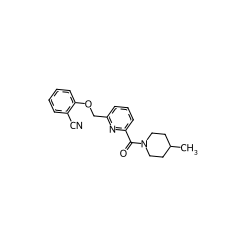 CC1CCN(C(=O)c2cccc(COc3ccccc3C#N)n2)CC1